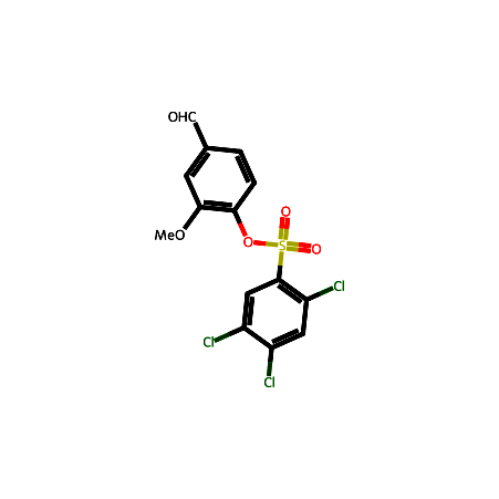 COc1cc(C=O)ccc1OS(=O)(=O)c1cc(Cl)c(Cl)cc1Cl